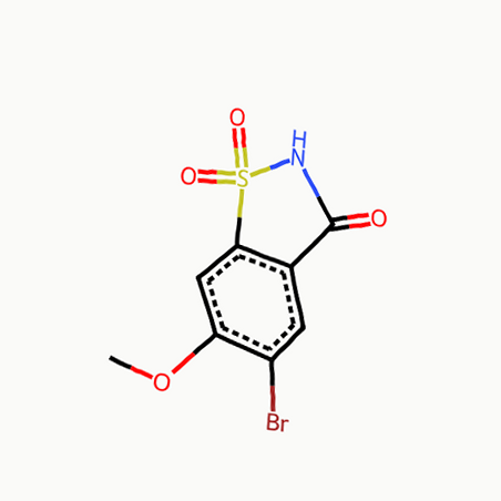 COc1cc2c(cc1Br)C(=O)NS2(=O)=O